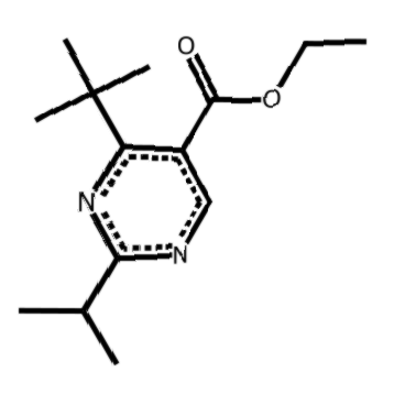 CCOC(=O)c1cnc(C(C)C)nc1C(C)(C)C